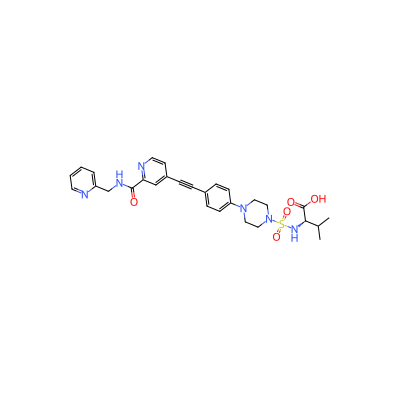 CC(C)[C@@H](NS(=O)(=O)N1CCN(c2ccc(C#Cc3ccnc(C(=O)NCc4ccccn4)c3)cc2)CC1)C(=O)O